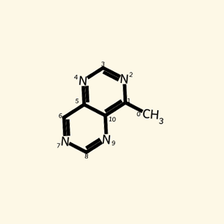 Cc1ncnc2cncnc12